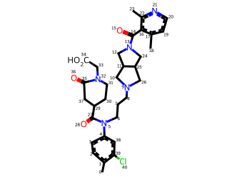 Cc1ccc(N(CCCN2CC3CN(C(=O)c4c(C)ccnc4C)CC3C2)C(=O)C2CCN(CC(=O)O)C(=O)C2)cc1Cl